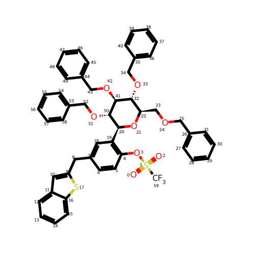 O=S(=O)(Oc1ccc(Cc2cc3ccccc3s2)cc1[C@@H]1O[C@H](COCc2ccccc2)[C@@H](OCc2ccccc2)[C@H](OCc2ccccc2)[C@H]1OCc1ccccc1)C(F)(F)F